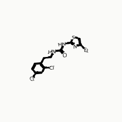 CCc1csc(NC(=O)NCCc2ccc(Cl)cc2Cl)n1